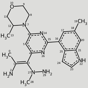 C/C(N)=C(\c1cc(N2CCOCC2C)nc(-c2cc(C)cc3[nH]ccc23)n1)N(C)N